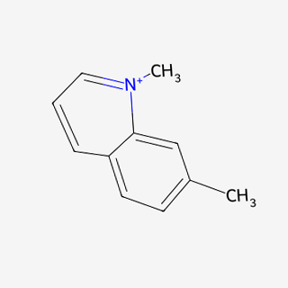 Cc1ccc2ccc[n+](C)c2c1